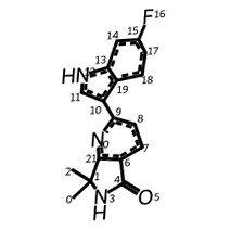 CC1(C)NC(=O)c2ccc(-c3c[nH]c4cc(F)ccc34)nc21